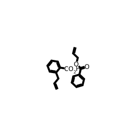 C=CCOC(=O)c1ccccc1.C=CCc1ccccc1C(=O)O